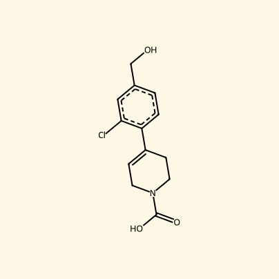 O=C(O)N1CC=C(c2ccc(CO)cc2Cl)CC1